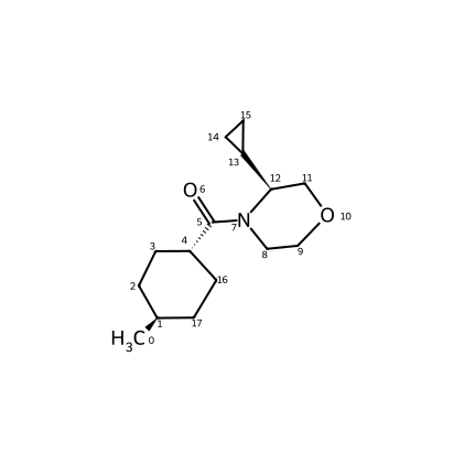 C[C@H]1CC[C@H](C(=O)N2CCOC[C@@H]2C2CC2)CC1